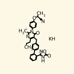 CCCc1nc(C)n(-c2ccc(OC(C)C#N)cc2)c(=O)c1Cc1ccc(-c2ccccc2-c2noc(=O)[nH]2)cc1.[KH]